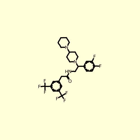 O=C(Cc1cc(C(F)(F)F)cc(C(F)(F)F)c1)NCC(c1ccc(F)c(F)c1)N1CCC(N2CCCCC2)CC1